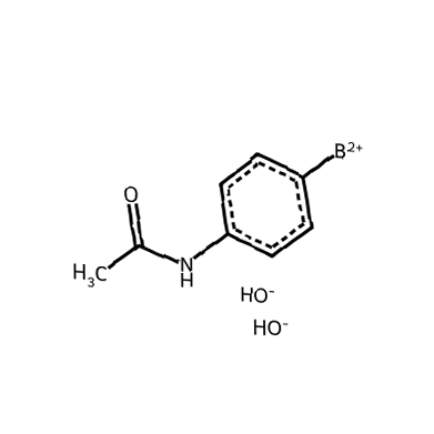 [B+2]c1ccc(NC(C)=O)cc1.[OH-].[OH-]